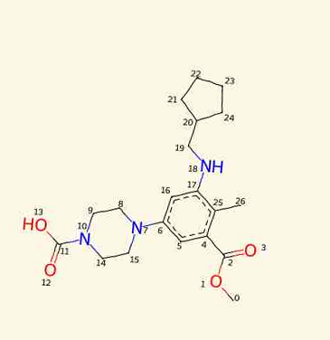 COC(=O)c1cc(N2CCN(C(=O)O)CC2)cc(NCC2CCCC2)c1C